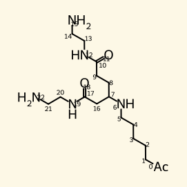 CC(=O)CCCCCNC(CCC(=O)NCCN)CC(=O)NCCN